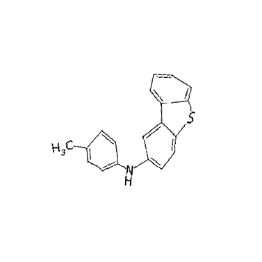 Cc1ccc(Nc2ccc3sc4ccccc4c3c2)cc1